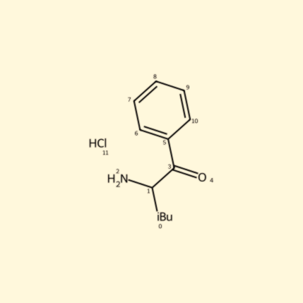 CCC(C)C(N)C(=O)c1ccccc1.Cl